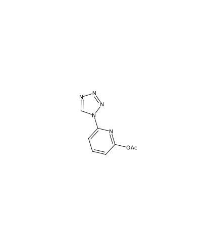 CC(=O)Oc1cccc(-n2cnnn2)n1